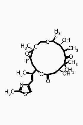 C/C(=C\c1csc(C)n1)C1C[C@H]2O[C@@]2(C)CCCC(C)[C@H](O)C(C)C(=O)C(C)(C)[C@@H](O)CC(=O)O1